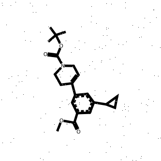 COC(=O)c1cc(C2=CCN(C(=O)OC(C)(C)C)CC2)cc(C2CC2)c1